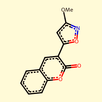 COc1cc(-c2cc3ccccc3oc2=O)on1